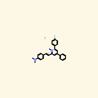 CN(C)c1ccc(/C=C/c2cc(-c3ccccc3)cc(-c3ccc(F)cc3)[n+]2C)cc1.[I-]